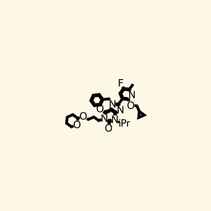 Cc1nc(OCC2CC2)c(-c2nc3c(c(=O)n(CCCOC4CCCCO4)c(=O)n3C(C)C)n2Cc2ccccc2)cc1F